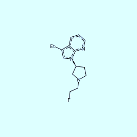 CCc1cn([C@H]2CCN(CCF)C2)c2ncccc12